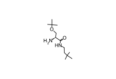 CC(C)(C)CCNC(=O)[C@@H](N)COC(C)(C)C